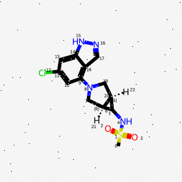 CS(=O)(=O)NC1[C@H]2CN(c3cc(Cl)cc4[nH]ncc34)C[C@@H]12